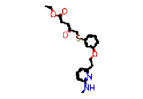 CCOC(=O)CCC(=O)CSc1cccc(OCCc2cccc(NC)n2)c1